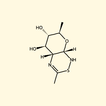 CC1=N[C@@H]2[C@@H](O)[C@H](O)[C@@H](C)O[C@@H]2NS1